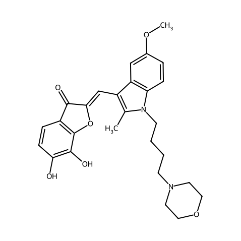 COc1ccc2c(c1)c(/C=C1\Oc3c(ccc(O)c3O)C1=O)c(C)n2CCCCN1CCOCC1